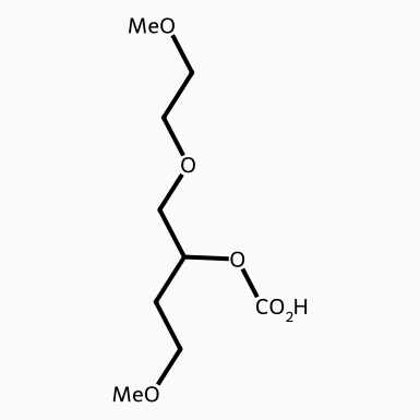 COCCOCC(CCOC)OC(=O)O